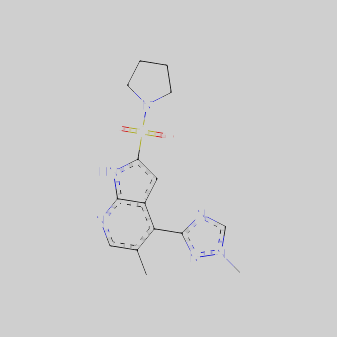 Cc1cnc2[nH]c(S(=O)(=O)N3CCCC3)cc2c1-c1ncn(C)n1